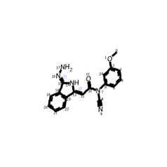 COc1cccc(N(C#N)C(=O)/C=C2\N/C(=N\N)c3ccccc32)c1